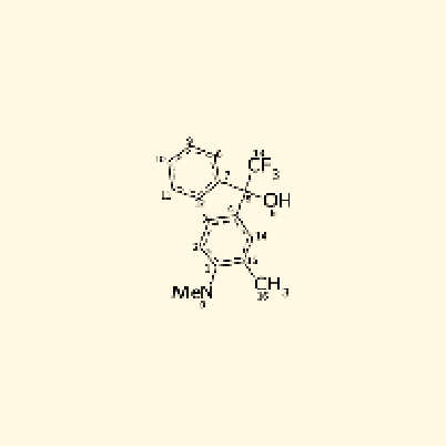 CNc1ccc(C(O)(c2ccccc2)C(F)(F)F)cc1C